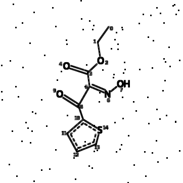 CCOC(=O)C(=NO)C(=O)c1cccs1